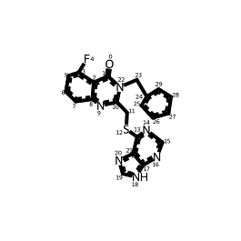 O=c1c2c(F)cccc2nc(CSc2ncnc3[nH]cnc23)n1Cc1ccccc1